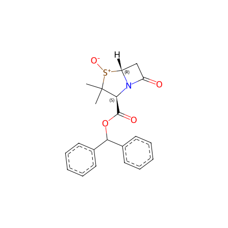 CC1(C)[C@H](C(=O)OC(c2ccccc2)c2ccccc2)N2C(=O)C[C@H]2[S+]1[O-]